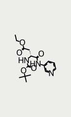 CCOC(=O)C[C@@H](NC(=O)OC(C)(C)C)C(=O)Nc1cccnc1